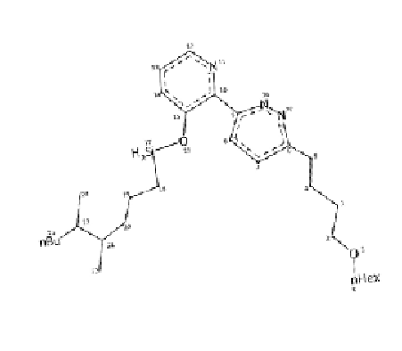 CCCCCCOCCCCc1ccc(-c2ncccc2O[SiH2]CCCC(C)C(C)CCCC)nn1